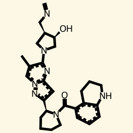 C=NC[C@@H]1CN(c2nc3cc([C@@H]4CCCCN4C(=O)c4cccc5c4CCCN5)nn3cc2C)C[C@@H]1O